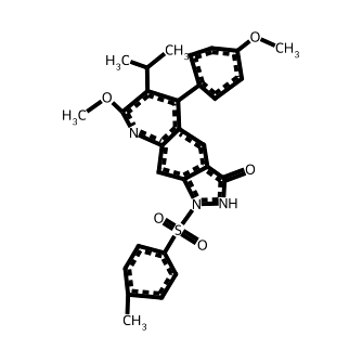 COc1ccc(-c2c(C(C)C)c(OC)nc3cc4c(cc23)c(=O)[nH]n4S(=O)(=O)c2ccc(C)cc2)cc1